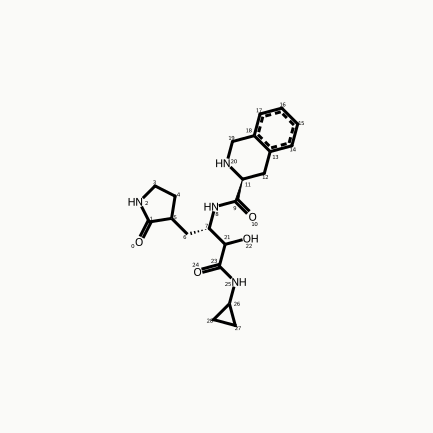 O=C1NCCC1C[C@H](NC(=O)[C@@H]1Cc2ccccc2CN1)C(O)C(=O)NC1CC1